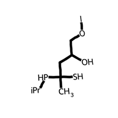 CC(C)PC(C)(S)CC(O)COI